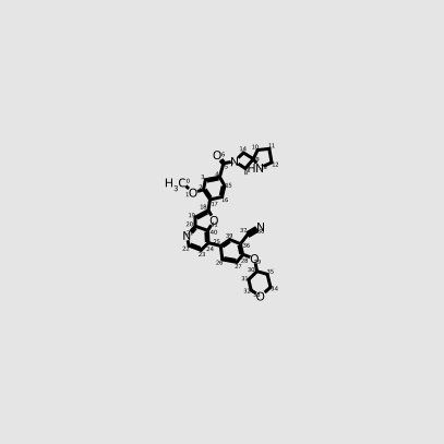 COc1cc(C(=O)N2CC3(CCCN3)C2)ccc1-c1cc2nccc(-c3ccc(OC4CCOCC4)c(C#N)c3)c2o1